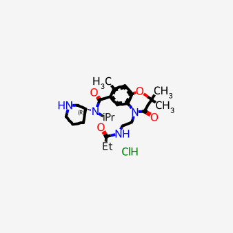 CCC(=O)NCCN1C(=O)C(C)(C)Oc2cc(C)c(C(=O)N(C(C)C)[C@@H]3CCCNC3)cc21.Cl